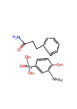 CC(=O)Nc1cc([As](=O)(O)O)ccc1O.NC(=O)CCc1ccccc1